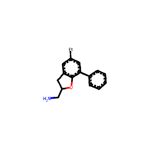 CCc1cc2c(c(-c3ccccc3)c1)OC(CN)C2